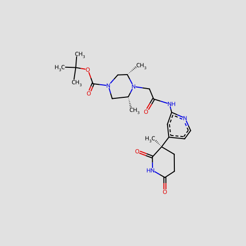 C[C@@H]1CN(C(=O)OC(C)(C)C)C[C@H](C)N1CC(=O)Nc1cc([C@@]2(C)CCC(=O)NC2=O)ccn1